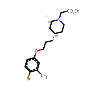 CCOC(=O)CN1CC[C@H](CCCOc2ccc(Br)c(C(F)(F)F)c2)C[C@@H]1C